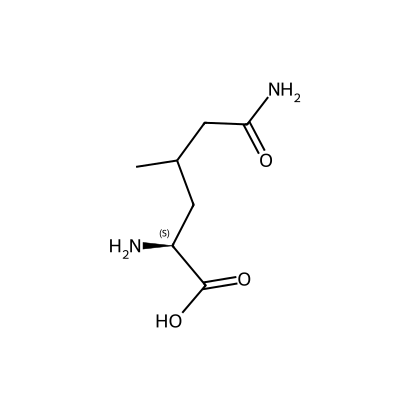 CC(CC(N)=O)C[C@H](N)C(=O)O